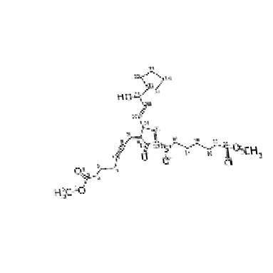 COC(=O)CCCC#C/C=C1\C(=O)C([S+]([O-])CCCCCC(=O)OC)=CC1/C=C/C(O)C1CCCC1